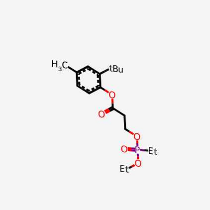 CCOP(=O)(CC)OCCC(=O)Oc1ccc(C)cc1C(C)(C)C